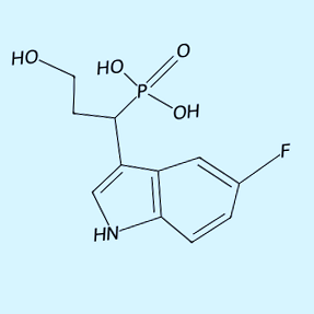 O=P(O)(O)C(CCO)c1c[nH]c2ccc(F)cc12